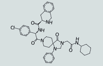 O=C(CN1CN(c2ccccc2)C2(CCN(C(=O)[C@H](NC(=O)[C@H]3Cc4ccccc4CN3)c3ccc(Cl)cc3)CC2)C1=O)NC1CCCCC1